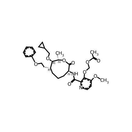 COc1ccnc(C(=O)N[C@H]2CCC[C@H](CCOc3ccccc3)[C@@H](OCC3CC3)[C@H](C)OC2=O)c1OCOC(C)=O